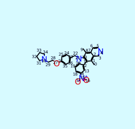 Cc1c2cnccc2c(C)c2c1c1cc([N+](=O)[O-])ccc1n2Cc1ccc(OCCN2CCCC2)cc1